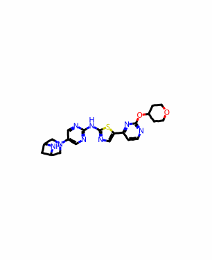 c1cc(-c2cnc(Nc3ncc(N4CC5CC(C4)N5)cn3)s2)nc(OC2CCOCC2)n1